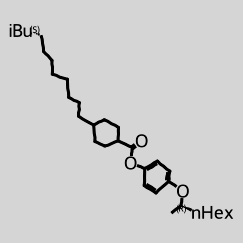 CCCCCC[C@@H](C)Oc1ccc(OC(=O)C2CCC(CCCCCCCC[C@@H](C)CC)CC2)cc1